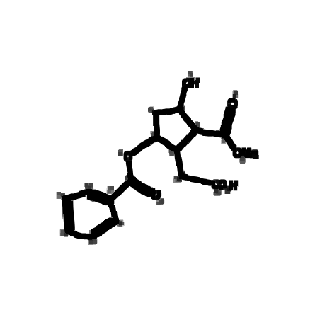 COC(=O)C1C(O)CC(OC(=O)c2ccccc2)C1CC(=O)O